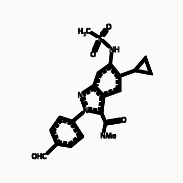 CNC(=O)c1c2cc(C3CC3)c(NS(C)(=O)=O)cc2nn1-c1ccc(C=O)cc1